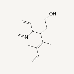 C=C/C(C)=C(\C)C(CCO)C(C=C)N=C